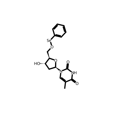 Cc1cn([C@H]2C[C@H](O)[C@@H](CO[Se]c3ccccc3)O2)c(=O)[nH]c1=O